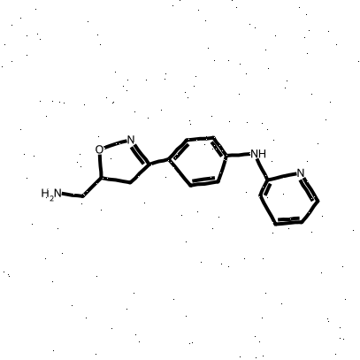 NCC1CC(c2ccc(Nc3ccccn3)cc2)=NO1